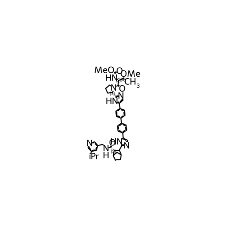 COC(=O)N[C@H](C(=O)N1CCC[C@H]1c1ncc(-c2ccc(-c3ccc(-c4cnc(C5C6CCC(C6)[C@@H]5C(=O)NCc5cncc(C(C)C)c5)[nH]4)cc3)cc2)[nH]1)[C@@H](C)OC